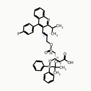 CC(C)c1nc2ccccc2c(-c2ccc(F)cc2)c1/C=C/CO[PH](=O)C[C@H](CC(=O)O)O[Si](c1ccccc1)(c1ccccc1)C(C)(C)C